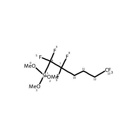 CO[Si](OC)(OC)C(F)(F)C(F)(F)CCCC(F)(F)F